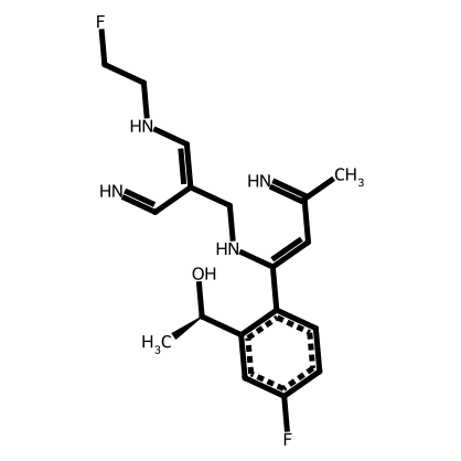 CC(=N)/C=C(\NC/C(C=N)=C/NCCF)c1ccc(F)cc1[C@@H](C)O